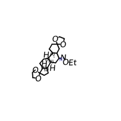 CCO/N=C1\C[C@@H]2[C@H](CC[C@@]3(C)[C@H]2CCC32OCCO2)[C@@]2(C)CCC3(CC12)OCCO3